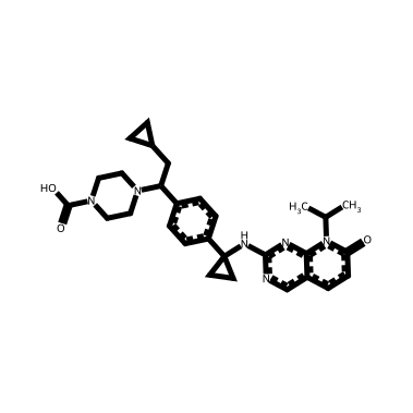 CC(C)n1c(=O)ccc2cnc(NC3(c4ccc(C(CC5CC5)N5CCN(C(=O)O)CC5)cc4)CC3)nc21